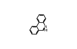 I.c1ccc2c(c1)cnc1ccccc12